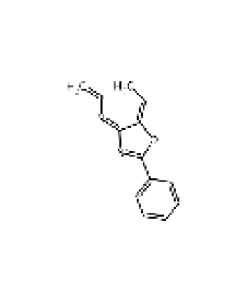 C=C/N=C1/N=C(c2ccccc2)O/C1=C/C